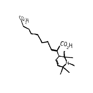 CN1C(C)(C)C=CC(C(CCCCCCCC(=O)O)C(=O)O)C1(C)C